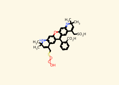 CC1(C)C=C(CS(=O)(=O)O)c2cc3c(cc2=N1)Oc1cc2c(cc1C=3c1ccccc1C(=O)O)C(CSOOO)=CC(C)(C)N2